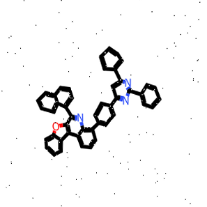 c1ccc(-c2cc(-c3ccc(-c4cccc5c4nc(-c4cccc6ccccc46)c4oc6ccccc6c45)cc3)nc(-c3ccccc3)n2)cc1